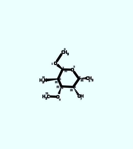 CO[C@H]1O[C@H](C)[C@H](O)[C@H](OC)[C@H]1N